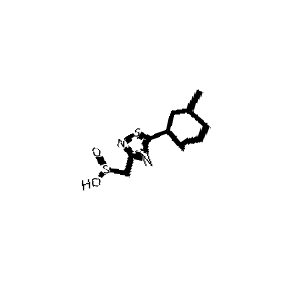 CC1CCCC(c2nc(CS(=O)O)ns2)C1